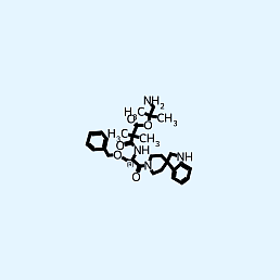 CC(C)(CN)OC(=O)C(C)(C)C(=O)N[C@H](COCc1ccccc1)C(=O)N1CCC2(CC1)CNc1ccccc12